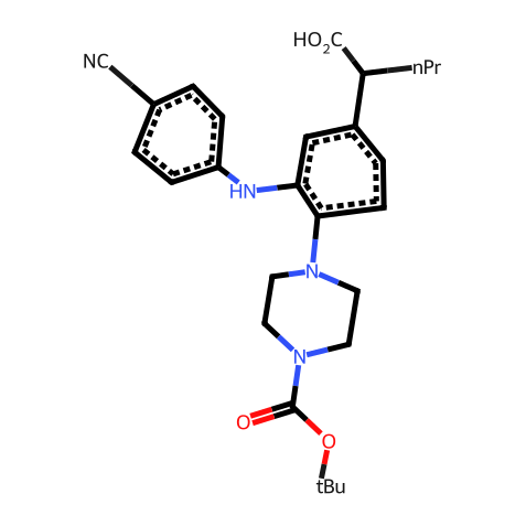 CCCC(C(=O)O)c1ccc(N2CCN(C(=O)OC(C)(C)C)CC2)c(Nc2ccc(C#N)cc2)c1